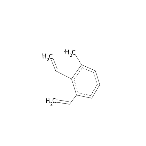 [CH2]c1cccc(C=C)c1C=C